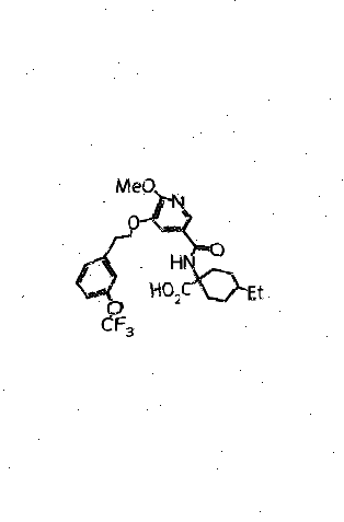 CCC1CCC(NC(=O)c2cnc(OC)c(OCCc3cccc(OC(F)(F)F)c3)c2)(C(=O)O)CC1